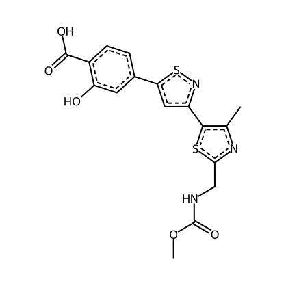 COC(=O)NCc1nc(C)c(-c2cc(-c3ccc(C(=O)O)c(O)c3)sn2)s1